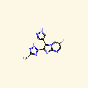 Fc1cnc2nc(-c3nc(C(F)(F)F)n[nH]3)c(-c3cn[nH]c3)n2c1